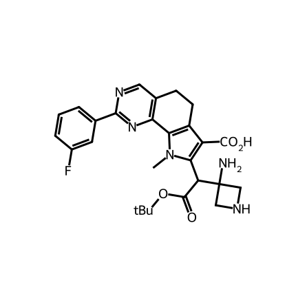 Cn1c2c(c(C(=O)O)c1C(C(=O)OC(C)(C)C)C1(N)CNC1)CCc1cnc(-c3cccc(F)c3)nc1-2